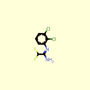 N/C(=N/c1cccc(Cl)c1Cl)C(F)F